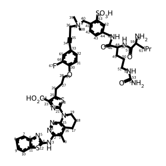 Cc1c(Nc2nc3ccccc3s2)nnc2c1CCCN2c1nc(C(=O)O)c(CCCOc2ccc(C#CC[N+](C)(C)Cc3ccc(NC(=O)C(CCCNC(N)=O)NC(=O)C(N)C(C)C)cc3S(=O)(=O)O)cc2F)s1